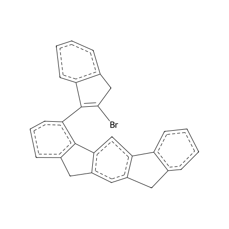 BrC1=C(c2cccc3c2-c2cc4c(cc2C3)Cc2ccccc2-4)c2ccccc2C1